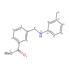 COC(=O)c1cccc(CNc2cccc(C)c2)c1